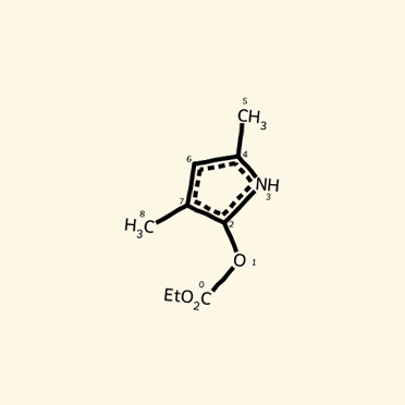 CCOC(=O)Oc1[nH]c(C)cc1C